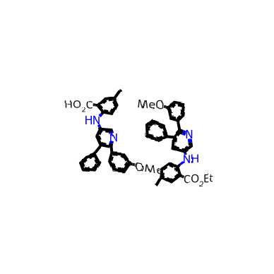 CCOC(=O)c1cc(C)ccc1Nc1cnc(-c2cccc(OC)c2)c(-c2ccccc2)c1.COc1cccc(-c2ncc(Nc3ccc(C)cc3C(=O)O)cc2-c2ccccc2)c1